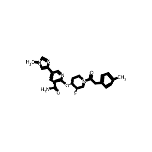 Cc1ccc(CC(=O)N2CC[C@@H](Oc3ncc(-c4cn(C)cn4)cc3C(N)=O)[C@H](F)C2)cc1